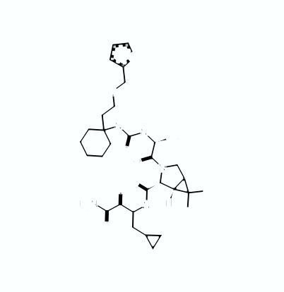 CC(C)(C)[C@H](NC(=O)NC1(CCSCc2ccco2)CCCCC1)C(=O)N1CC2[C@@H]([C@H]1C(=O)NC(CC1CC1)C(=O)C(N)=O)C2(C)C